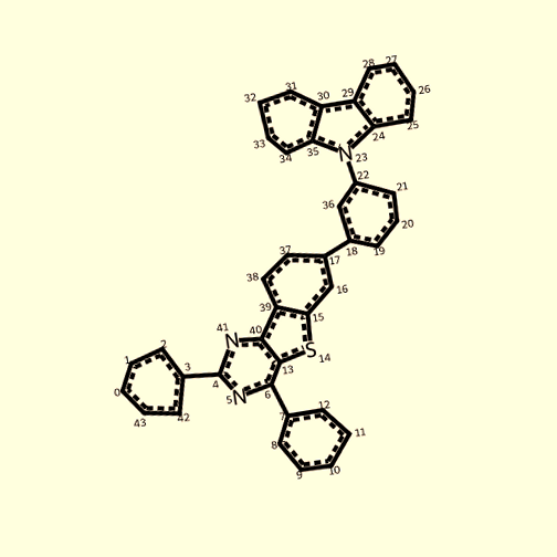 c1ccc(-c2nc(-c3ccccc3)c3sc4cc(-c5cccc(-n6c7ccccc7c7ccccc76)c5)ccc4c3n2)cc1